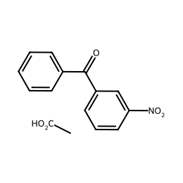 CC(=O)O.O=C(c1ccccc1)c1cccc([N+](=O)[O-])c1